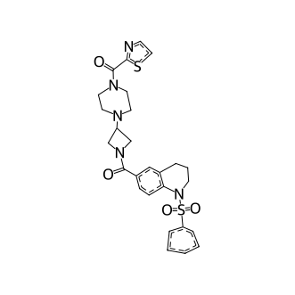 O=C(c1ccc2c(c1)CCCN2S(=O)(=O)c1ccccc1)N1CC(N2CCN(C(=O)c3nccs3)CC2)C1